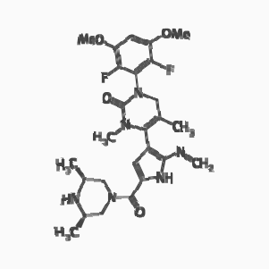 C=Nc1[nH]c(C(=O)N2C[C@@H](C)N[C@@H](C)C2)cc1C1=C(C)CN(c2c(F)c(OC)cc(OC)c2F)C(=O)N1C